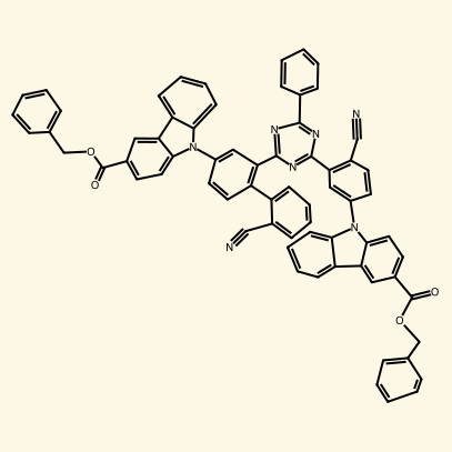 N#Cc1ccc(-n2c3ccccc3c3cc(C(=O)OCc4ccccc4)ccc32)cc1-c1nc(-c2ccccc2)nc(-c2cc(-n3c4ccccc4c4cc(C(=O)OCc5ccccc5)ccc43)ccc2-c2ccccc2C#N)n1